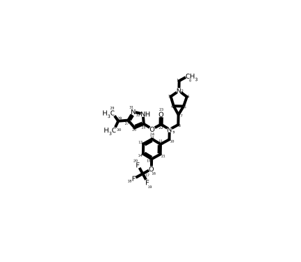 CCN1CC2C(C1)C2CN(Cc1cccc(OC(F)(F)F)c1)C(=O)Oc1cc(C(C)C)n[nH]1